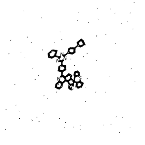 c1ccc(-c2ccc(-c3nc(-c4ccccc4)nc(-c4ccc(-c5nc6ccccc6c6c7c(ccc56)C5(c6ccccc6Sc6ccccc65)c5ccccc5-7)cc4)n3)cc2)cc1